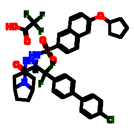 NC1CC2CCC(C1)N2C(=O)[C@H](NS(=O)(=O)c1ccc2cc(OC3CCCC3)ccc2c1)C(F)(F)c1ccc(-c2ccc(Cl)cc2)cc1.O=C(O)C(F)(F)F